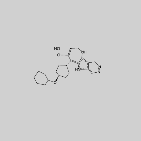 Cl.ClC1=CCNc2c3c([nH]c2=C1[C@H]1CC[C@H](OC2CCCCC2)CC1)=CN=NC3